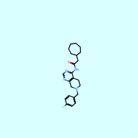 O=C(CC1CCCCCC1)Nc1ncnc2c1CCN(Cc1ccc(F)cc1)C2